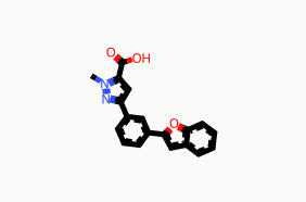 Cn1nc(-c2cccc(-c3cc4ccccc4o3)c2)cc1C(=O)O